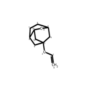 C=COC12CC3CCC(C1)C(C3)C2